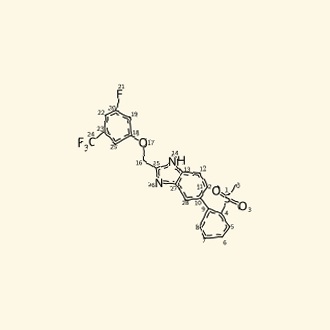 CS(=O)(=O)c1ccccc1-c1ccc2[nH]c(COc3cc(F)cc(C(F)(F)F)c3)nc2c1